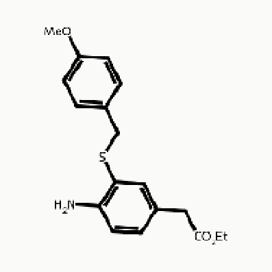 CCOC(=O)Cc1ccc(N)c(SCc2ccc(OC)cc2)c1